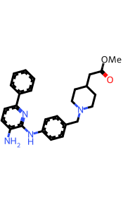 COC(=O)CC1CCN(Cc2ccc(Nc3nc(-c4ccccc4)ccc3N)cc2)CC1